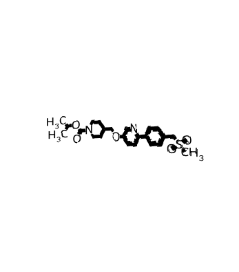 CC(C)OC(=O)N1CCC(COc2ccc(-c3ccc(CS(C)(=O)=O)cc3)nc2)CC1